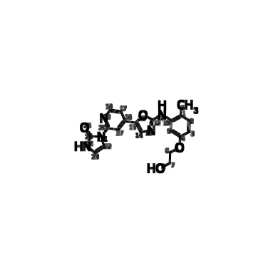 Cc1ccc(OCCO)cc1Nc1ncc(-c2ccnc(-n3cc[nH]c3=O)c2)o1